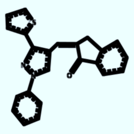 O=C1C(=Cc2cn(-c3ccccc3)nc2-c2cccs2)Cc2ccccc21